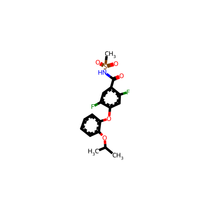 CC(C)Oc1ccccc1Oc1cc(F)c(C(=O)NS(C)(=O)=O)cc1F